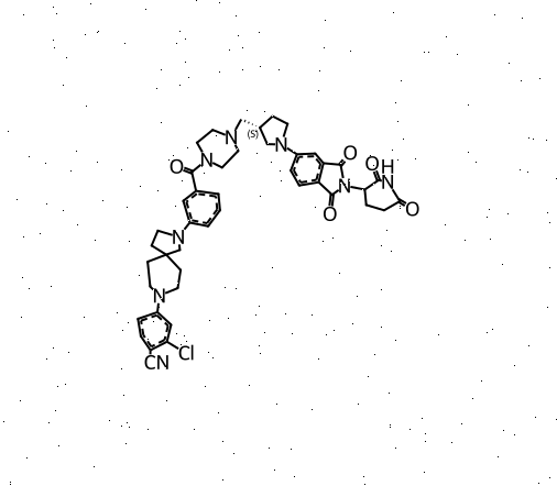 N#Cc1ccc(N2CCC3(CC2)CCN(c2cccc(C(=O)N4CCN(C[C@@H]5CCN(c6ccc7c(c6)C(=O)N(C6CCC(=O)NC6=O)C7=O)C5)CC4)c2)C3)cc1Cl